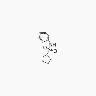 O=S(=O)(Nc1cc[c]cc1)C1CCCC1